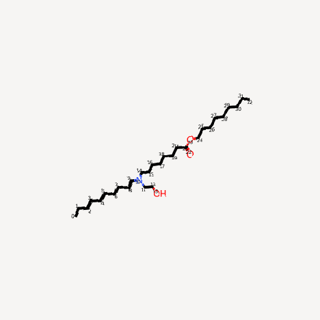 CCCCCCCCCCN(CCO)CCCCCCCC(=O)OCCCCCCCCC